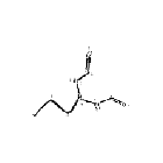 CCCN(NC=O)NC=O